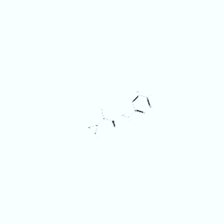 NC(C(=O)OCc1ccccc1)C1CC1